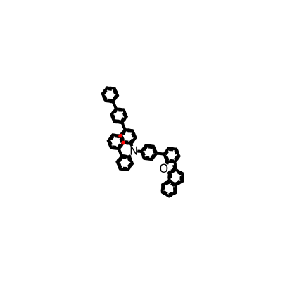 c1ccc(-c2ccc(-c3ccc(N(c4ccc(-c5cccc6c5oc5c7ccccc7ccc65)cc4)c4ccccc4-c4ccccc4)cc3)cc2)cc1